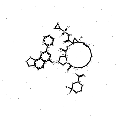 O=C1NC2(C(=O)NS(=O)(=O)C3CC3)C[C@H]2/C=C\CCCCC[C@H](CC(=O)N2CCCC(F)(F)C2)C(=O)N2C[C@H](Oc3cc(-c4ccccn4)nc4c5c(ccc34)CCC5)C[C@@H]12